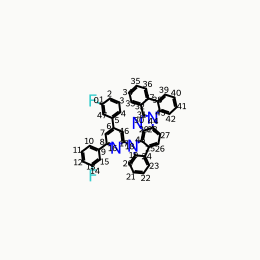 Fc1cccc(-c2cc(-c3cccc(F)c3)nc(-n3c4ccccc4c4ccc5c(nc6c7ccccc7c7ccccc7n56)c43)c2)c1